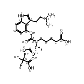 CN(C)CCc1c[nH]c2cccc(OC(=O)N(C)CCCCC(=O)O)c12.O=C(O)C(F)(F)F.O=CO